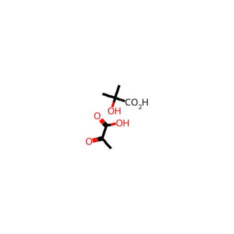 CC(=O)C(=O)O.CC(C)(O)C(=O)O